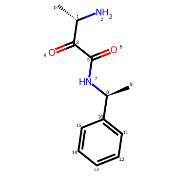 C[C@H](N)C(=O)C(=O)N[C@@H](C)c1ccccc1